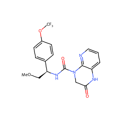 COC[C@H](NC(=O)N1CC(=O)Nc2cccnc21)c1ccc(OC(F)(F)F)cc1